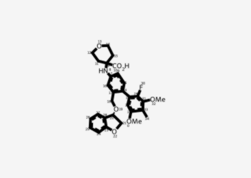 COc1cc(-c2ccc(NC3(C(=O)O)CCOCC3)cc2CO[C@@H]2COc3ccccc32)c(F)c(OC)c1C